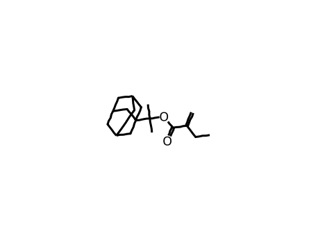 C=C(CC)C(=O)OC(C)(C)C12CC3CC(CC(C3)C1)C2